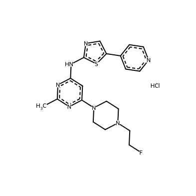 Cc1nc(Nc2ncc(-c3ccncc3)s2)cc(N2CCN(CCF)CC2)n1.Cl